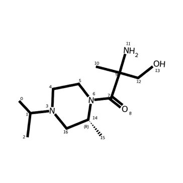 CC(C)N1CCN(C(=O)C(C)(N)CO)[C@H](C)C1